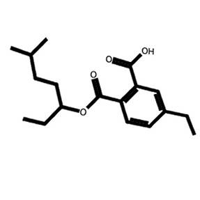 CCc1ccc(C(=O)OC(CC)CCC(C)C)c(C(=O)O)c1